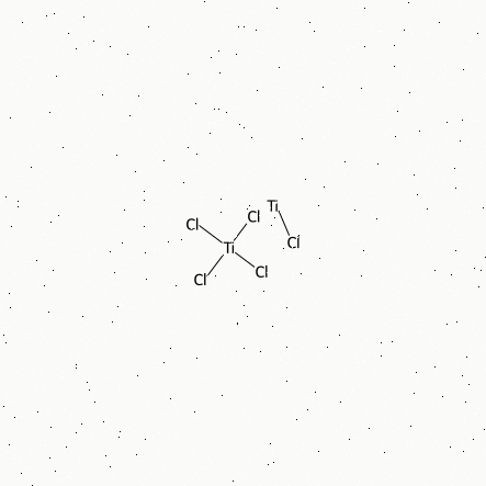 [Cl][Ti].[Cl][Ti]([Cl])([Cl])[Cl]